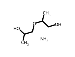 CC(O)COC(C)CO.N